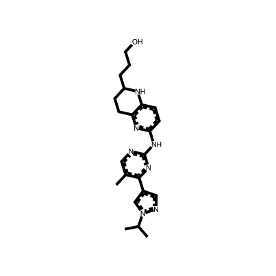 Cc1cnc(Nc2ccc3c(n2)CCC(CCCO)N3)nc1-c1cnn(C(C)C)c1